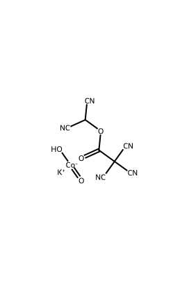 N#CC(C#N)OC(=O)C(C#N)(C#N)C#N.[K+].[O]=[Co-][OH]